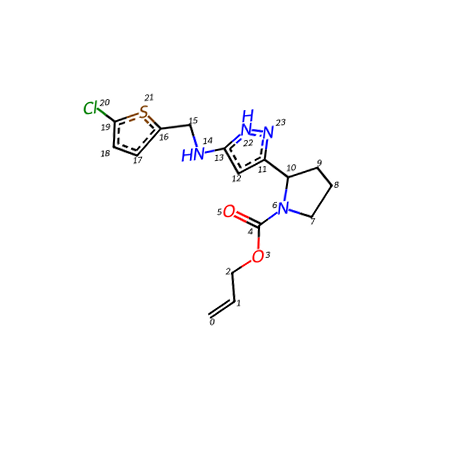 C=CCOC(=O)N1CCCC1c1cc(NCc2ccc(Cl)s2)[nH]n1